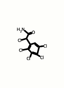 NC(=O)C(Cl)c1cc(Cl)c(Cl)c(Cl)c1Cl